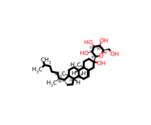 CC(C)CCC[C@@H](C)[C@H]1CC[C@H]2[C@@H]3CC=C4CC(O)([C@@H]5O[C@H](CO)[C@H](O)[C@H](O)[C@H]5O)CC[C@]4(C)[C@H]3CC[C@]12C